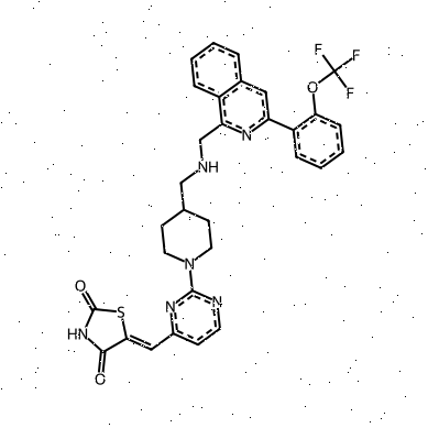 O=C1NC(=O)C(=Cc2ccnc(N3CCC(CNCc4nc(-c5ccccc5OC(F)(F)F)cc5ccccc45)CC3)n2)S1